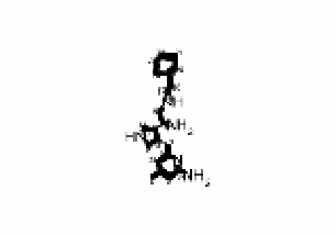 Cc1cc(N)nc(C[C@@H]2CNC[C@@H]2C(N)CNCCc2ccccc2)c1